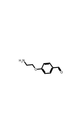 NCCOc1ccc(C=O)cc1